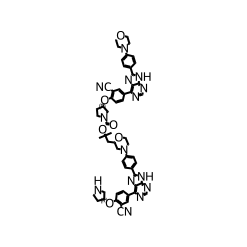 CC(C)(CC1CN(c2ccc(-c3nc4c(-c5ccc(O[C@@H]6CCNC6)c(C#N)c5)ncnc4[nH]3)cc2)CCO1)OC(=O)N1CC[C@@H](Oc2ccc(-c3ncnc4[nH]c(-c5ccc(N6CCOCC6)cc5)nc34)cc2C#N)C1